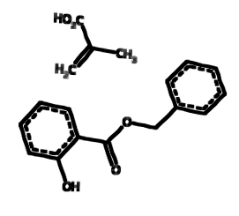 C=C(C)C(=O)O.O=C(OCc1ccccc1)c1ccccc1O